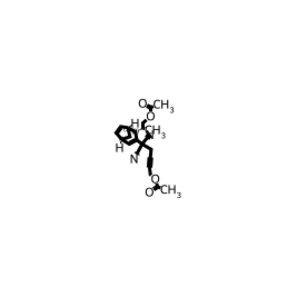 CC(=O)OCC#CCC(C#N)(C#N)C1=C[C@H]2C=C[C@H](C2)[C@@H]1C(C)COC(C)=O